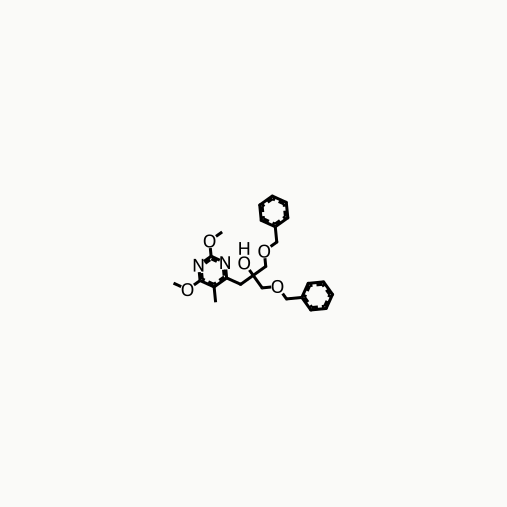 COc1nc(CC(O)(COCc2ccccc2)COCc2ccccc2)c(C)c(OC)n1